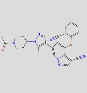 CC(=O)N1CCC(n2ncc(-c3cc(Sc4ccccc4C#N)c4c(C#N)cnn4c3)c2C)CC1